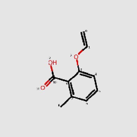 C=COc1cccc(C)c1C(=O)O